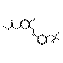 COC(=O)Cc1ccc(Br)c(COc2cccc(CS(C)(=O)=O)c2)c1